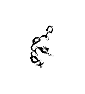 Cn1cnc(OC(=O)N(Cc2cccc(OC(F)(F)F)c2)CC2C3CN(CC(=O)N4CCOCC4)CC32)c1